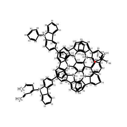 C=C/C=C(\C=C/C)n1c2ccccc2c2cc(-c3ccc4c(c3)c3cc(-c5ccc6c(c5)c5ccccc5n6-c5ccccc5)ccc3n4-c3c(-n4c5ccccc5c5ccccc54)c(-n4c5ccccc5c5ccccc54)c(-c4cccc(C(F)(F)F)c4)c(-n4c5ccccc5c5ccccc54)c3-n3c4ccccc4c4ccccc43)ccc21